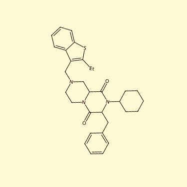 CCc1sc2ccccc2c1CN1CCN2C(=O)C(Cc3ccccc3)N(C3CCCCC3)C(=O)C2C1